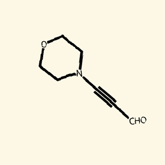 O=CC#CN1CCOCC1